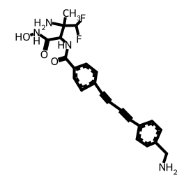 CC(N)(C(F)F)C(NC(=O)c1ccc(C#CC#Cc2ccc(CN)cc2)cc1)C(=O)NO